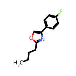 CCCCc1nc(-c2ccc(F)cc2)co1